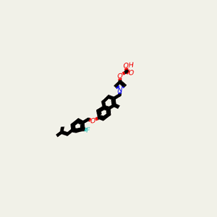 CC1=C(CN2CC(OC(=O)O)C2)CCc2cc(OCc3ccc(CC(C)C)cc3F)ccc21